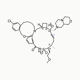 COCC[C@@H]1[C@@H](C)C/C=C/[C@](CN2CCN3CCOCC3C2)(OC)[C@@H]2CC[C@H]2CN2CCCCc3cc(Cl)ccc3COc3ccc(cc32)C(=O)NS1(=O)=O